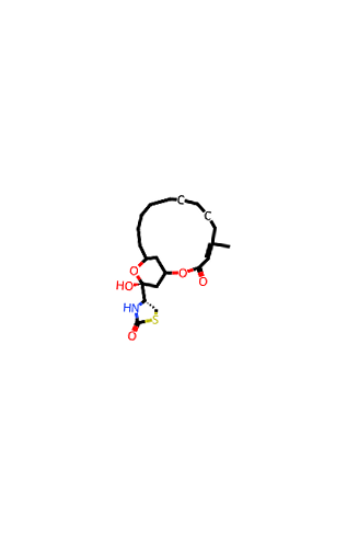 C/C1=C/C(=O)OC2CC(CCCCCCCCC1)O[C@@](O)([C@@H]1CSC(=O)N1)C2